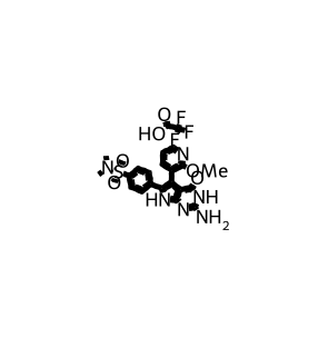 COc1ncccc1-c1c(-c2ccc(S(=O)(=O)N(C)C)cc2)[nH]c2nc(N)[nH]c(=O)c12.O=C(O)C(F)(F)F